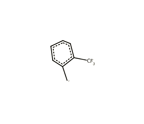 [CH]c1ccccc1C(F)(F)F